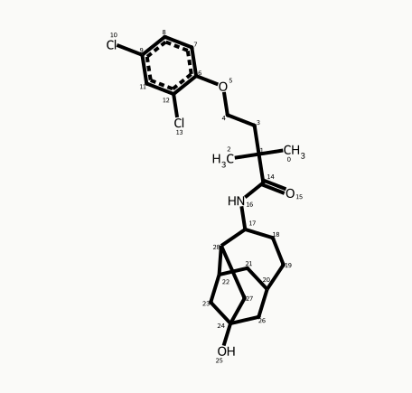 CC(C)(CCOc1ccc(Cl)cc1Cl)C(=O)NC1CCC2CC3CC(O)(C2)CC31